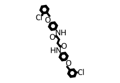 O=C(CCC(=O)Nc1ccc(OCc2ccccc2Cl)cc1)Nc1ccc(OCc2cccc(Cl)c2)cc1